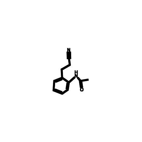 CC(=O)Nc1ccccc1CCC#N